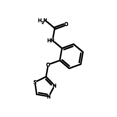 NC(=O)Nc1ccccc1Oc1nncs1